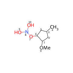 COC1CC(C)CC1ON(O)O